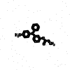 C=CC(=O)Oc1cccc(N(c2ccccc2)c2ccc(C)cc2)c1